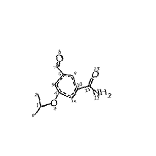 CC(C)Oc1cc(C=O)cc(C(N)=O)c1